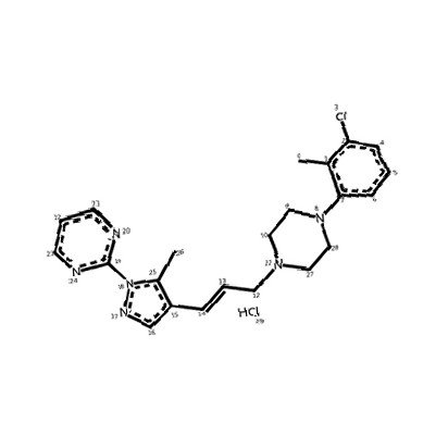 Cc1c(Cl)cccc1N1CCN(CC=Cc2cnn(-c3ncccn3)c2C)CC1.Cl